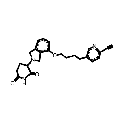 C#Cc1ccc(CCCCOc2cccc3c2CN(C2CCC(=O)NC2=O)C3)cn1